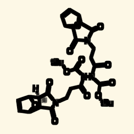 CC(C)(C)OC(=O)N(C(=O)CCN1C(=O)C2C3C=CC(O3)C2C1=O)N(C(=O)CCN1C(=O)C2C3C=CC(O3)[C@H]2C1=O)C(=O)OC(C)(C)C